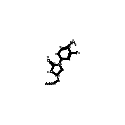 CC(=O)NC[C@H]1CN(C2C=C(F)C(N)=CC2)C(=O)O1